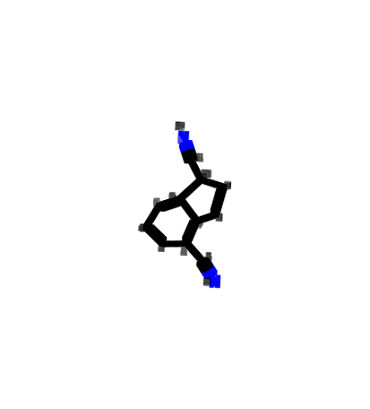 N#Cc1cccc2c1C=CC2C#N